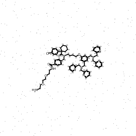 NCCOCCOCCNC(=O)c1ccc(CN(CCCCOc2cc(CN(Cc3ccccn3)Cc3ccccn3)cc(CN(Cc3ccccn3)Cc3ccccn3)c2)C(=O)C2(c3ccc(Cl)cc3)CCCCC2)cc1